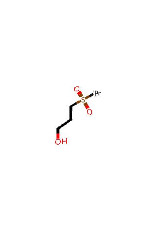 CC(C)S(=O)(=O)CCCO